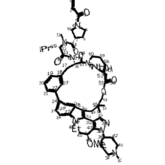 C=CC(=O)N1CC[C@H](C(=O)N(C)[C@H](C(=O)N[C@H]2Cc3cccc(c3)-c3ccc4c(c3)c(c(-c3cnn(C5CCN(C)CC5)c3[C@H](C)OC)n4CC)CC(C)(C)COC(=O)[C@@H]3CCCN(N3)C2=O)C(C)C)C1